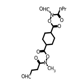 CCCC(=O)N(C=O)OC(=O)C1CCC(C(=O)ON(C)C(=O)CCC=O)CC1